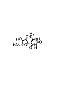 Cc1[nH]c(=O)[nH]c(=O)c1[C@@H]1O[C@H](CO)C(O)[C@@H]1O